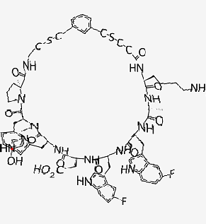 C[C@H]1NC(=O)[C@H](CCCCN)NC(=O)CCSCc2cccc(c2)CSCCNC(=O)[C@]2(C)CCCN2C(=O)[C@H](Cc2ccc(O)cc2)N(C)C(=O)[C@H](Cc2c[nH]cn2)NC(=O)[C@H](CC(=O)O)NC(=O)[C@H](Cc2c[nH]c3ccc(F)cc23)NC(=O)[C@H](Cc2c[nH]c3ccc(F)cc23)NC1=O